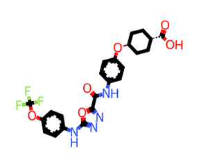 O=C(Nc1ccc(O[C@H]2CC[C@@H](C(=O)O)CC2)cc1)c1nnc(Nc2ccc(OC(F)(F)F)cc2)o1